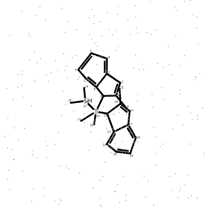 CC1=Cc2ccccc2[CH]1[Ti]([CH3])([CH3])([CH]1C(C)=Cc2ccccc21)[SiH](C)C